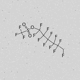 O=S(=O)(OC(F)(F)C(F)(F)C(F)(F)C(F)(F)C(F)(F)CF)C(F)(F)F